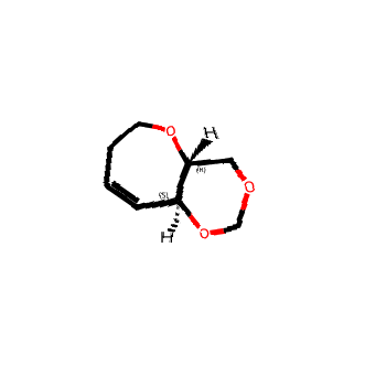 C1=C[C@@H]2OCOC[C@H]2OCC1